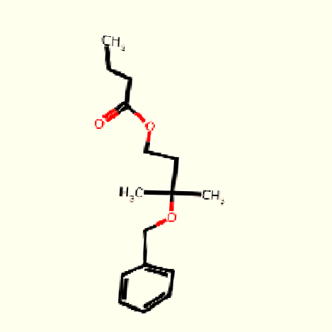 CCCC(=O)OCCC(C)(C)OCc1ccccc1